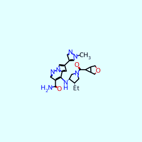 CC[C@H]1CN(C(=O)C2C3COCC32)C[C@H]1Nc1c(C(N)=O)cnn2cc(-c3cnn(C)c3)cc12